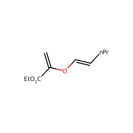 C=C(OC=CCCC)C(=O)OCC